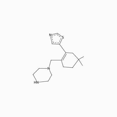 CC1(C)CCC(CN2CCNCC2)=C(c2cncs2)C1